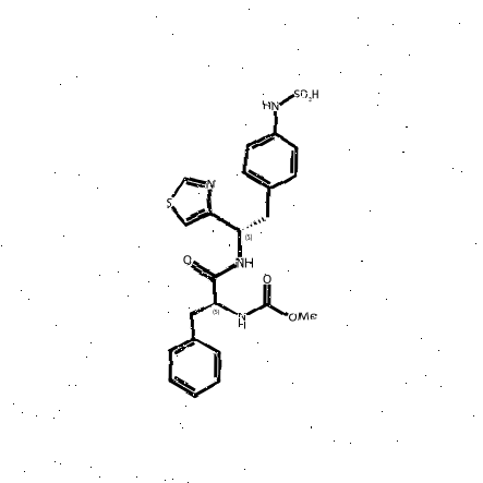 COC(=O)N[C@@H](Cc1ccccc1)C(=O)N[C@@H](Cc1ccc(NS(=O)(=O)O)cc1)c1cscn1